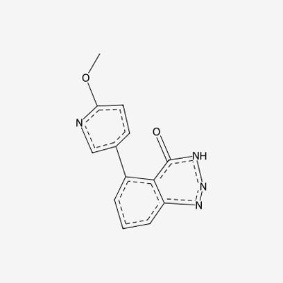 COc1ccc(-c2cccc3nn[nH]c(=O)c23)cn1